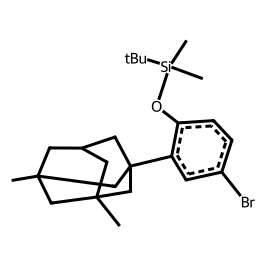 CC12CC3CC(C)(C1)CC(c1cc(Br)ccc1O[Si](C)(C)C(C)(C)C)(C3)C2